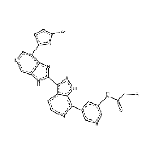 CC(=O)c1ccc(-c2cncc3[nH]c(-c4n[nH]c5c(-c6cncc(NC(=O)CC(C)C)c6)nccc45)nc23)s1